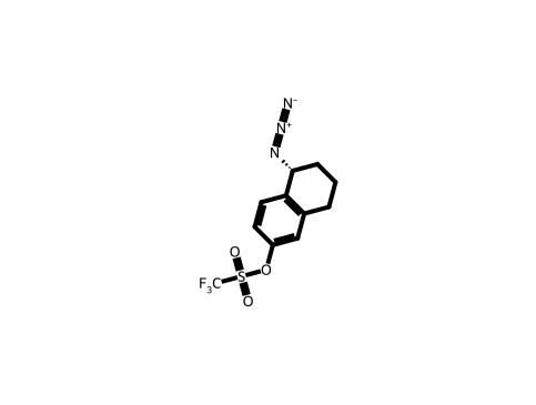 [N-]=[N+]=N[C@@H]1CCCc2cc(OS(=O)(=O)C(F)(F)F)ccc21